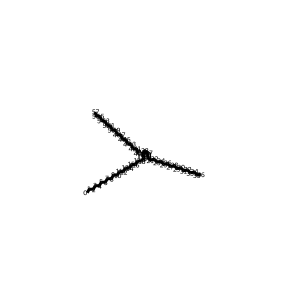 CCCCCCCCCCCCCCCCCCCC1N(CCCCCCCCCCCCCCCC)C=CN1CCCCCCCCCCCCCCCCCC